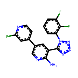 Nc1ncc(-c2ccnc(F)c2)cc1-c1nnnn1-c1cccc(F)c1F